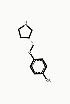 FC(F)(F)c1ccc(OC[C@@H]2CCNC2)cc1